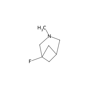 CN1CC2CC(F)(C2)C1